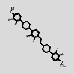 CCCCOc1ccc(C2CCC(CCc3ccc(C4CCC(c5ccc(OCC)c(F)c5F)CC4)c(F)c3F)CC2)c(F)c1F